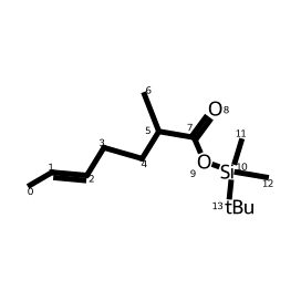 CC=CCCC(C)C(=O)O[Si](C)(C)C(C)(C)C